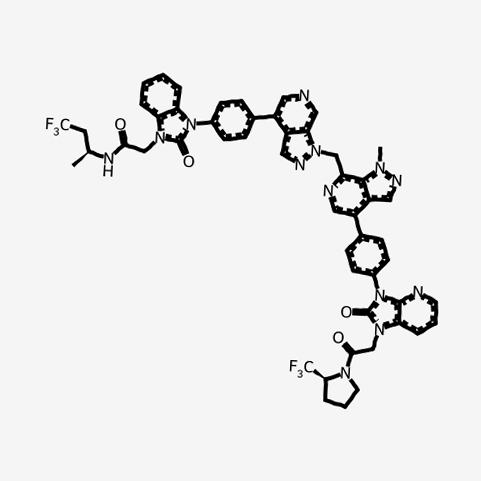 C[C@@H](CC(F)(F)F)NC(=O)Cn1c(=O)n(-c2ccc(-c3cncc4c3cnn4Cc3ncc(-c4ccc(-n5c(=O)n(CC(=O)N6CCC[C@H]6C(F)(F)F)c6cccnc65)cc4)c4cnn(C)c34)cc2)c2ccccc21